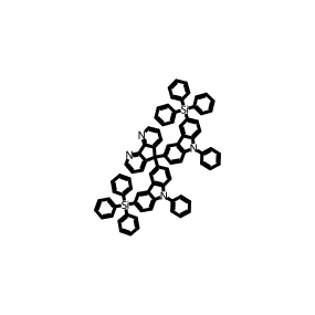 c1ccc(-n2c3ccc(C4(c5ccc6c(c5)c5cc([Si](c7ccccc7)(c7ccccc7)c7ccccc7)ccc5n6-c5ccccc5)c5cccnc5-c5ncccc54)cc3c3cc([Si](c4ccccc4)(c4ccccc4)c4ccccc4)ccc32)cc1